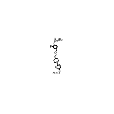 COCc1cnc(N2CCC(CCOCc3ccc(CC(=O)OC(C)(C)C)c(F)c3)CC2)nc1